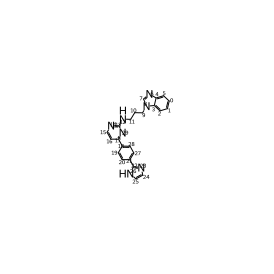 c1ccc2c(c1)ncn2CCCNc1nccc(-c2ccc(-c3ncc[nH]3)cc2)n1